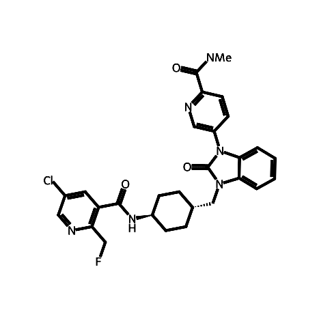 CNC(=O)c1ccc(-n2c(=O)n(C[C@H]3CC[C@H](NC(=O)c4cc(Cl)cnc4CF)CC3)c3ccccc32)cn1